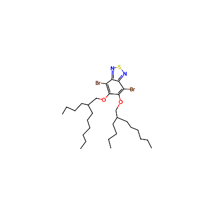 CCCCCCC(CCCC)COc1c(OCC(CCCC)CCCCCC)c(Br)c2nsnc2c1Br